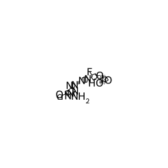 Nc1nc2c(ncn2CCN2CCN(c3ccc(O[C@@H]4COC[C@H]4O)cc3F)CC2)c2cc(-c3ccco3)nn12